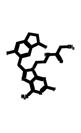 CCC(=O)NCCn1c(Cc2cc3c(cc2I)CCC3F)nc2c(N)nc(F)nc21